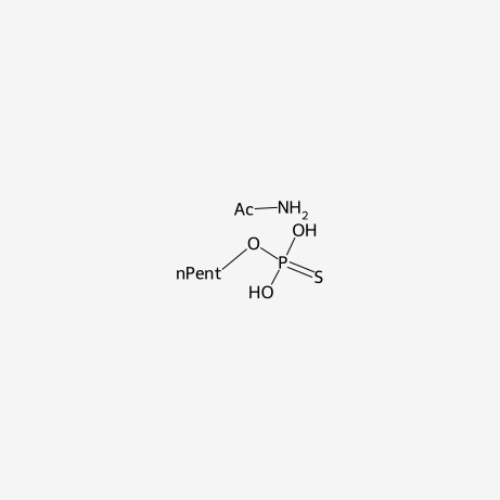 CC(N)=O.CCCCCOP(O)(O)=S